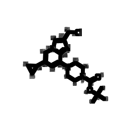 CC(C)(C)OC(=O)N1CCN(c2cc(C3CC3)cn3cc(CCl)nc23)CC1